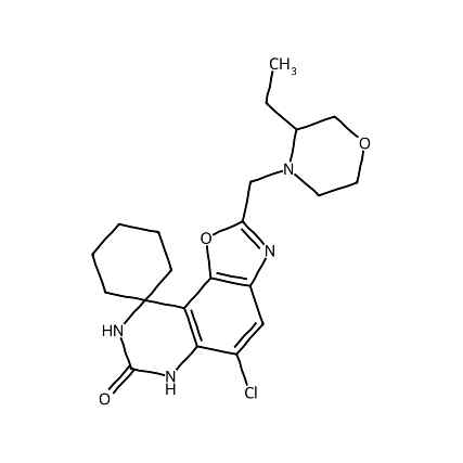 CCC1COCCN1Cc1nc2cc(Cl)c3c(c2o1)C1(CCCCC1)NC(=O)N3